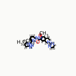 COc1cc2c(cc1C(=O)Nc1cccc(-c3nnc4n3C(C)(C)CC4)n1)CN(c1ncccn1)CC2